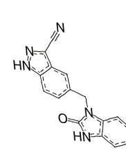 N#Cc1n[nH]c2ccc(Cn3c(=O)[nH]c4ccccc43)cc12